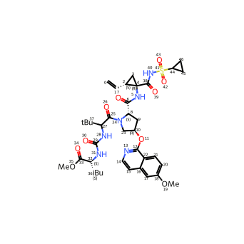 C=C[C@@H]1C[C@]1(NC(=O)[C@@H]1C[C@@H](Oc2nccc3cc(OC)ccc23)CN1C(=O)C(NC(=O)N[C@H](C(=O)OC)[C@@H](C)CC)C(C)(C)C)C(=O)NS(=O)(=O)C1CC1